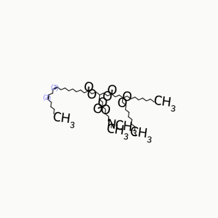 CCCCC/C=C\C/C=C\CCCCCCCC(=O)OCC(COC(=O)CCC(OCCCCCCCC)OCCCCCCCC)COC(=O)OCCCN(C)CC